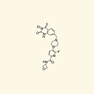 CCn1c(=O)[nH]c2cc(CN3CCN(c4ccc(C(=O)NC5COC5)nc4F)CC3)ccc2c1=S